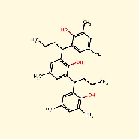 CCCC(c1cc(C)cc(C)c1O)c1cc(C)cc(C(CCC)c2cc(C)cc(C)c2O)c1O